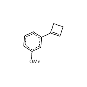 COc1cccc(C2=CCC2)c1